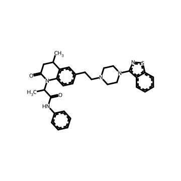 CC1CC(=O)N(C(C)C(=O)Nc2ccccc2)c2ccc(CCN3CCN(c4nsc5ccccc45)CC3)cc21